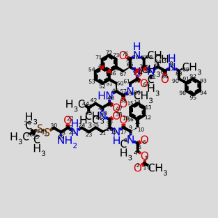 CC(=O)OCC(=O)N(C)[C@@H](Cc1ccccc1)C(=O)N[C@@H](CCCCNC(=O)[C@@H](N)CSSC(C)(C)C)C(=O)N(C)C(CC(C)C)C(=O)N[C@@H](Cc1ccccc1)C(=O)N(C)CC(=O)N(C)[C@@H](Cc1ccccc1)C(=O)N[C@@H](C)C(=O)N(C)[C@@H](C)C(=O)N[C@@H](C)Cc1ccccc1